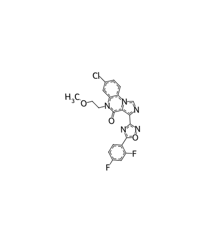 COCCn1c(=O)c2c(-c3noc(-c4ccc(F)cc4F)n3)ncn2c2ccc(Cl)cc21